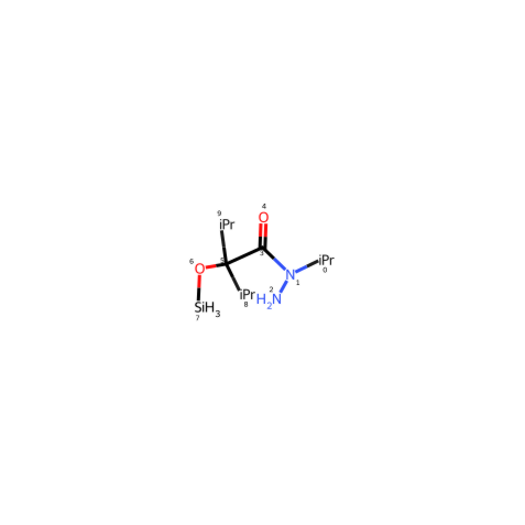 CC(C)N(N)C(=O)C(O[SiH3])(C(C)C)C(C)C